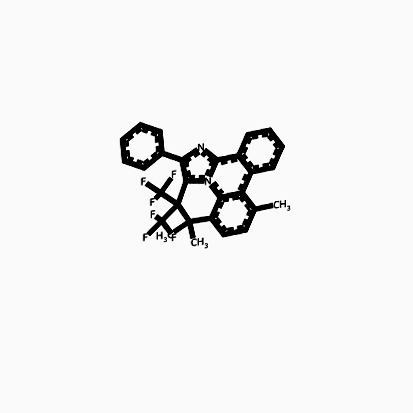 Cc1ccc2c3c1c1ccccc1c1nc(-c4ccccc4)c(n13)C(C(F)(F)F)(C(F)(F)F)C2(C)C